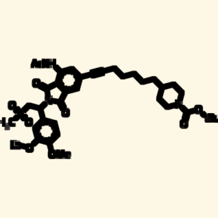 CCOc1cc(C(CS(C)(=O)=O)N2C(=O)c3cc(C#CCCCCCC4CCN(C(=O)OC(C)(C)C)CC4)cc(NC(C)=O)c3C2=O)ccc1OC